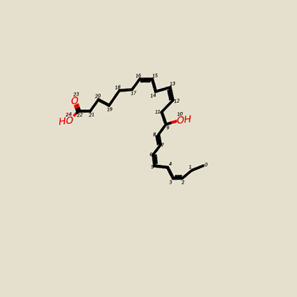 CC/C=C\C/C=C\C=C\C(O)C/C=C\C/C=C\CCCCCC(=O)O